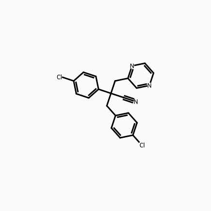 N#CC(Cc1ccc(Cl)cc1)(Cc1cnccn1)c1ccc(Cl)cc1